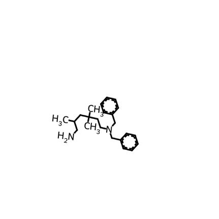 CC(CN)CC(C)(C)CCN(Cc1ccccc1)Cc1ccccc1